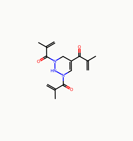 C=C(C)C(=O)C1=CN(C(=O)C(=C)C)NN(C(=O)C(=C)C)C1